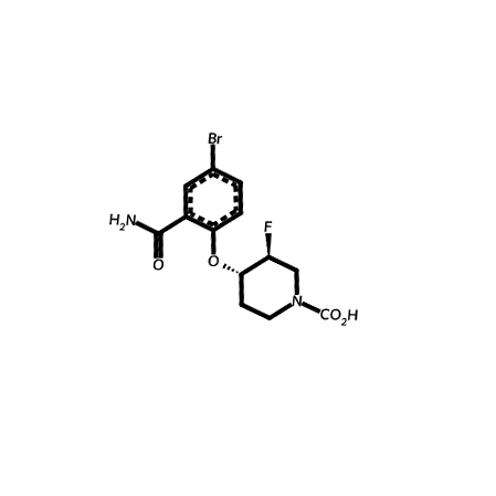 NC(=O)c1cc(Br)ccc1O[C@H]1CCN(C(=O)O)C[C@@H]1F